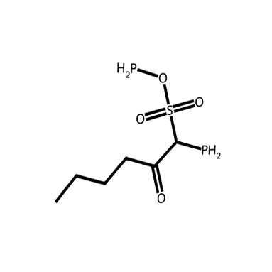 CCCCC(=O)C(P)S(=O)(=O)OP